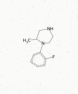 CC1CNCCN1c1ccccc1F